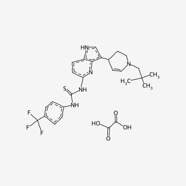 CC(C)(C)CN1C=CC(c2c[nH]c3ccc(NC(=S)Nc4ccc(C(F)(F)F)cc4)nc23)CC1.O=C(O)C(=O)O